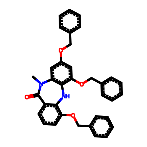 CN1C(=O)c2cccc(OCc3ccccc3)c2Nc2c(OCc3ccccc3)cc(OCc3ccccc3)cc21